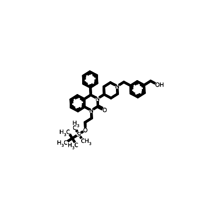 CC(C)(C)[Si](C)(C)OCCN1C(=O)N(C2CCN(Cc3cccc(CO)c3)CC2)C(c2ccccc2)c2ccccc21